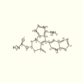 C=C1CC(OC(N)=O)Cn2c1c(-c1cnc3ccccc3c1)c1c(N)ncnc12